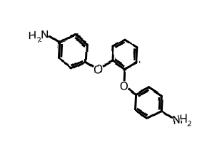 Nc1ccc(Oc2[c]cccc2Oc2ccc(N)cc2)cc1